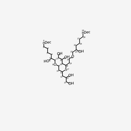 CCCCCCCCCCCCCCC(O)COCCC(CC(O)CO)SC(CCOCC(O)CCCCCCCCCCCCCC)CC(O)CO